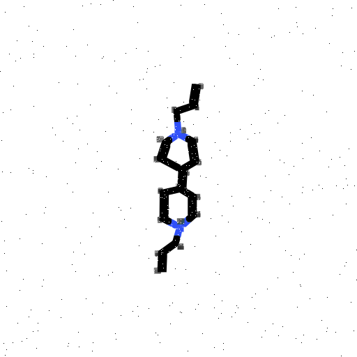 C=CCN1C=CC(=C2C=CN(CC=C)C=C2)C=C1